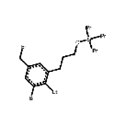 CCc1c(Br)cc(CBr)cc1CCCO[Si](C(C)C)(C(C)C)C(C)C